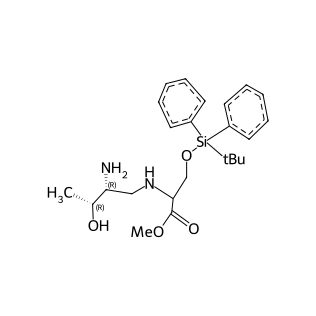 COC(=O)C(CO[Si](c1ccccc1)(c1ccccc1)C(C)(C)C)NC[C@@H](N)[C@@H](C)O